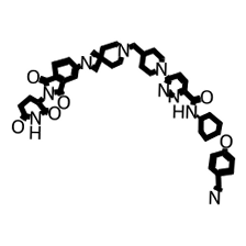 N#Cc1ccc(O[C@H]2CC[C@H](NC(=O)c3ccc(N4CCC(CN5CCC6(CC5)CN(c5ccc7c(c5)C(=O)N(C5CCC(=O)NC5=O)C7=O)C6)CC4)nn3)CC2)cc1